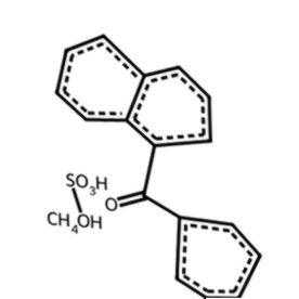 C.O=C(c1ccccc1)c1cccc2ccccc12.O=S(=O)(O)O